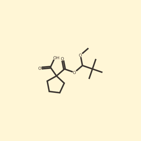 COC(OC(=O)C1(C(=O)O)CCCC1)C(C)(C)C